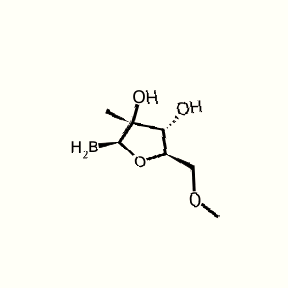 B[C@@H]1O[C@H](COC)[C@@H](O)[C@@]1(C)O